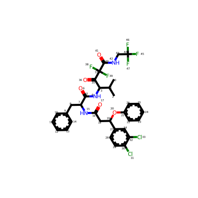 CC(C)C(NC(=O)C(Cc1ccccc1)NC(=O)CC(Oc1ccccc1)c1ccc(Cl)c(Cl)c1)C(=O)C(F)(F)C(=O)NCC(F)(F)F